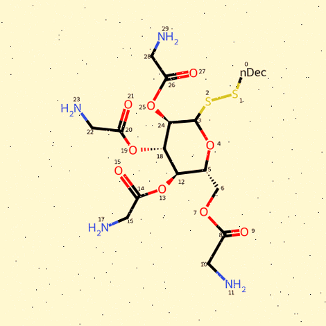 CCCCCCCCCCSSC1O[C@H](COC(=O)CN)[C@@H](OC(=O)CN)[C@H](OC(=O)CN)[C@H]1OC(=O)CN